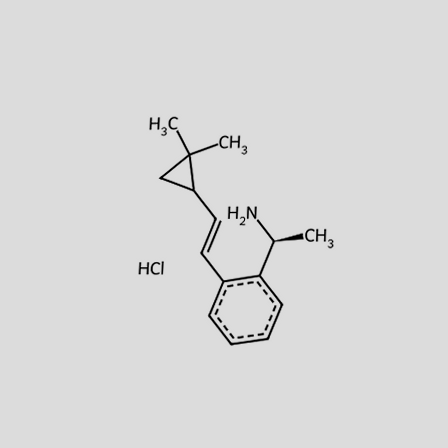 C[C@H](N)c1ccccc1/C=C/C1CC1(C)C.Cl